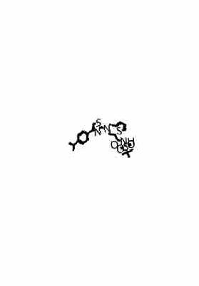 CC(C)c1ccc(-c2csc(N(CCC(=O)NS(=O)(=O)C(C)(C)C)Cc3cccs3)n2)cc1